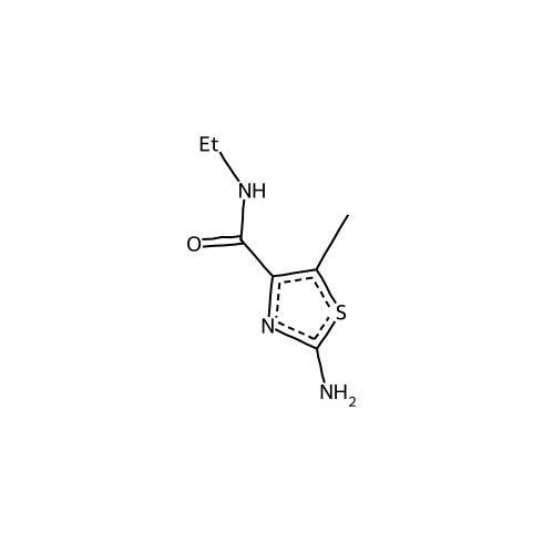 CCNC(=O)c1nc(N)sc1C